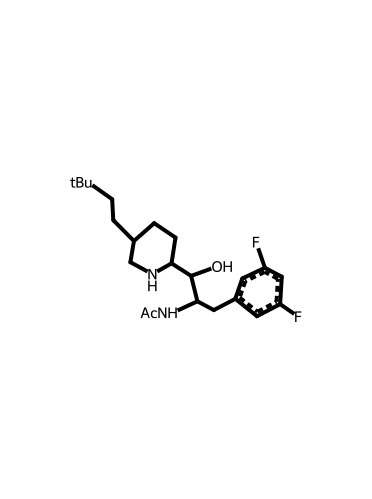 CC(=O)NC(Cc1cc(F)cc(F)c1)C(O)C1CCC(CCC(C)(C)C)CN1